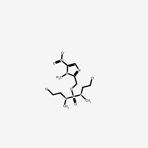 CN(CCCl)P(=O)(OCc1ncc([N+](=O)[O-])n1C)N(C)CCCl